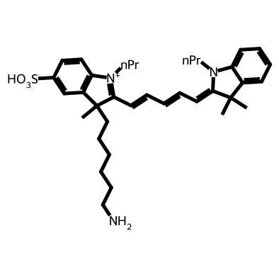 CCCN1\C(=C/C=C/C=C/C2=[N+](CCC)c3ccc(S(=O)(=O)O)cc3C2(C)CCCCCCN)C(C)(C)c2ccccc21